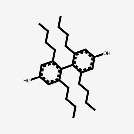 CCCCc1cc(O)cc(CCCC)c1-c1c(CCCC)cc(O)cc1CCCC